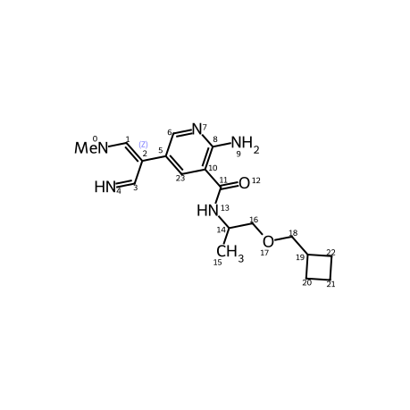 CN/C=C(\C=N)c1cnc(N)c(C(=O)NC(C)COCC2CCC2)c1